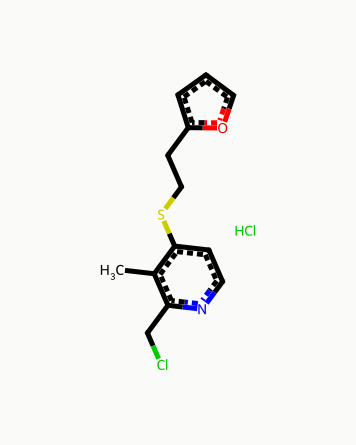 Cc1c(SCCc2ccco2)ccnc1CCl.Cl